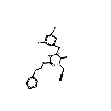 C#CCOC(=O)[C@H](Cc1cc(F)cc(F)c1)NC(=O)OCCc1ccccc1